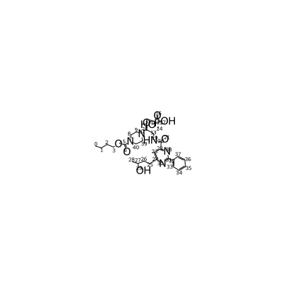 CCCCOC(=O)N1CCN(C(=O)[C@H](CP(=O)(O)O)NC(=O)c2cc(CCC(C)O)nc(-c3ccccc3)n2)CC1